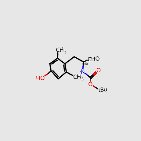 Cc1cc(O)cc(C)c1C[C@@H](C=O)[N]C(=O)OC(C)(C)C